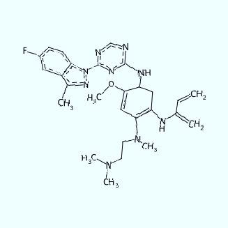 C=CC(=C)NC1=C(N(C)CCN(C)C)C=C(OC)C(Nc2ncnc(-n3nc(C)c4cc(F)ccc43)n2)C1